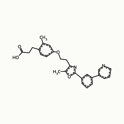 Cc1cc(OCCc2nc(-c3cccc(-c4cccnc4)c3)oc2C)ccc1CCC(=O)O